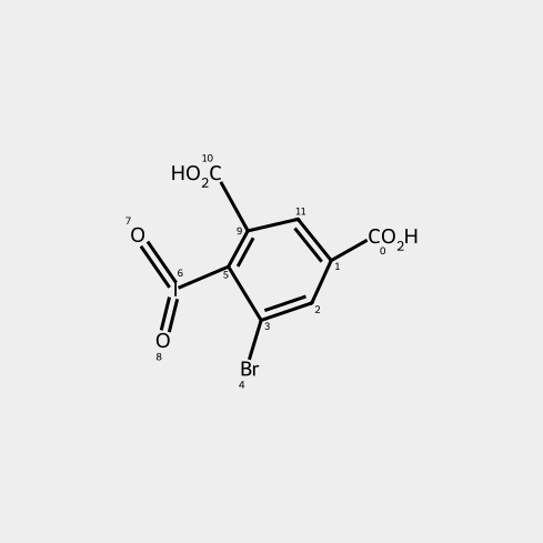 O=C(O)c1cc(Br)c(I(=O)=O)c(C(=O)O)c1